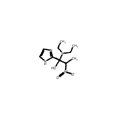 CCN(CC)C(O)(c1ncc[nH]1)C(C)[N+](=O)[O-]